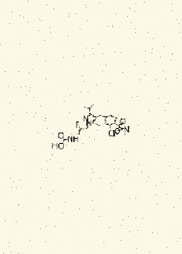 Cc1c(Cc2ccc(S(=O)(=O)N(C)C)c(Cl)c2)c(C(C)C)nn1C/C(F)=C/CNC(=O)O